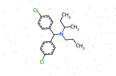 CCCN(C(C)CC)C(c1ccc(Cl)cc1)c1ccc(Cl)cc1